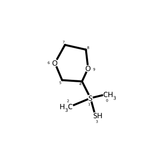 CS(C)(S)C1COCCO1